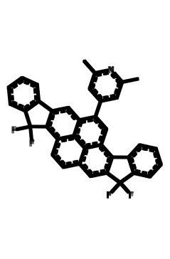 Cc1cc(-c2cc3c4c(cc5ccc6c7c(cc2c6c53)-c2ccccc2C7(F)F)C(F)(F)c2ccccc2-4)cc(C)n1